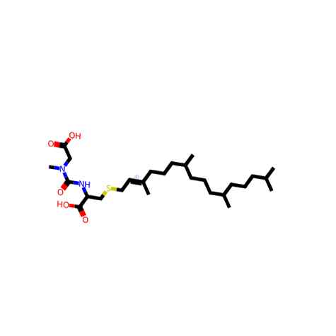 C/C(=C\CSCC(NC(=O)N(C)CC(=O)O)C(=O)O)CCCC(C)CCCC(C)CCCC(C)C